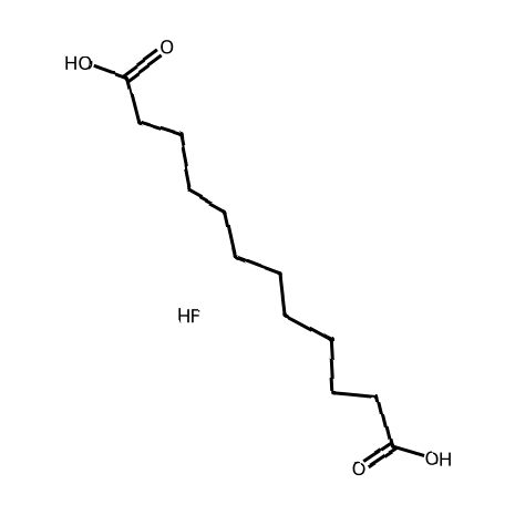 F.O=C(O)CCCCCCCCCCC(=O)O